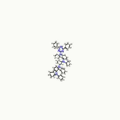 C1=Cc2c(c3c(ccc4c5ccccc5n(-c5cccc(-n6c7ccccc7c7c6ccc6c8ccccc8n(-c8ccccc8)c67)c5)c43)n2-c2nc(-c3ccccc3)nc(-c3ccccc3)n2)CC1